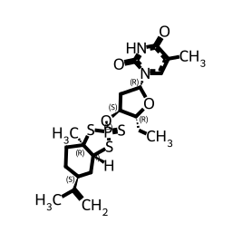 C=C(C)[C@H]1CC[C@@]2(C)S[P@](=S)(O[C@H]3C[C@H](n4cc(C)c(=O)[nH]c4=O)O[C@@H]3CC)S[C@@H]2C1